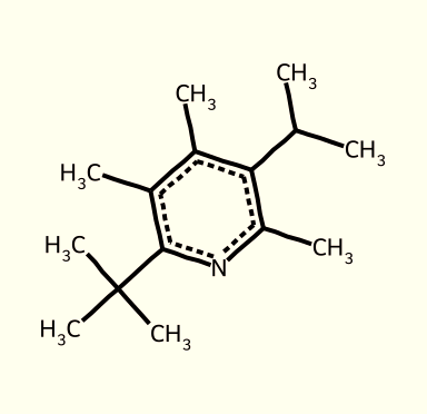 Cc1nc(C(C)(C)C)c(C)c(C)c1C(C)C